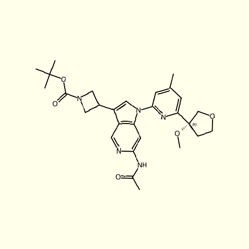 CO[C@@]1(c2cc(C)cc(-n3cc(C4CN(C(=O)OC(C)(C)C)C4)c4cnc(NC(C)=O)cc43)n2)CCOC1